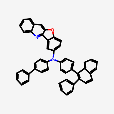 c1ccc(-c2ccc(N(c3ccc(-c4c(-c5ccccc5)ccc5ccccc45)cc3)c3ccc4oc5cc6ccccc6nc5c4c3)cc2)cc1